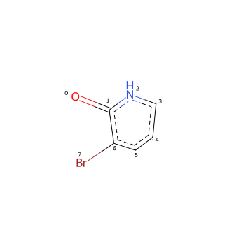 O=c1[nH]c[c]cc1Br